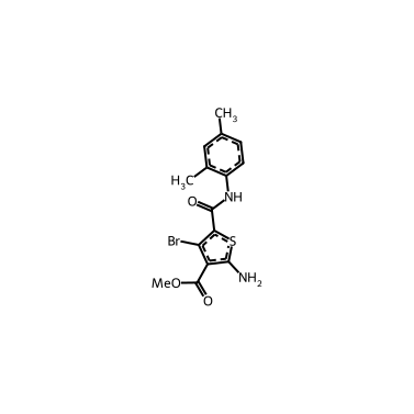 COC(=O)c1c(N)sc(C(=O)Nc2ccc(C)cc2C)c1Br